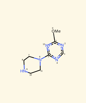 COc1ncnc(N2CCNCC2)n1